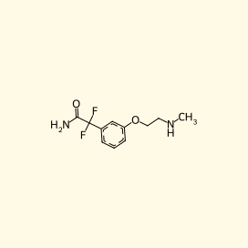 CNCCOc1cccc(C(F)(F)C(N)=O)c1